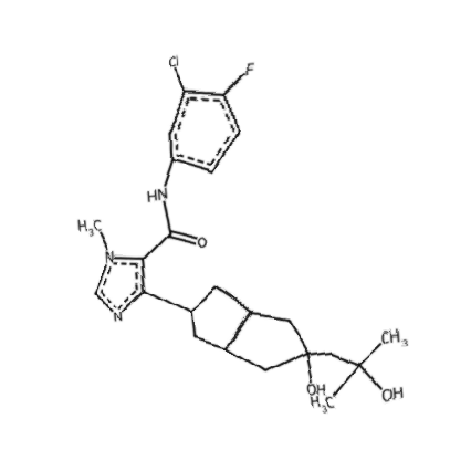 Cn1cnc(C2CC3CC(O)(CC(C)(C)O)CC3C2)c1C(=O)Nc1ccc(F)c(Cl)c1